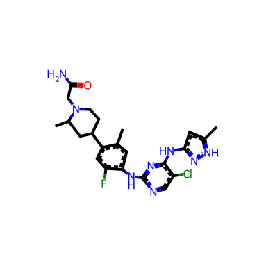 Cc1cc(Nc2nc(Nc3cc(C)c(C4CCN(CC(N)=O)C(C)C4)cc3F)ncc2Cl)n[nH]1